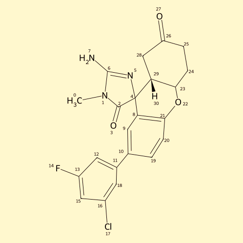 CN1C(=O)C2(N=C1N)c1cc(-c3cc(F)cc(Cl)c3)ccc1OC1CCC(=O)C[C@H]12